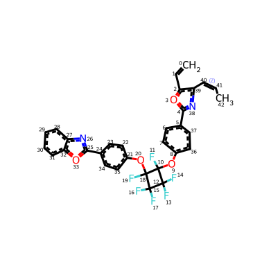 C=Cc1oc(-c2ccc(OC3(F)C(F)(F)C(F)(F)C3(F)Oc3ccc(-c4nc5ccccc5o4)cc3)cc2)nc1/C=C\C